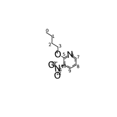 CCCCOc1ncccc1[N+](=O)[O-]